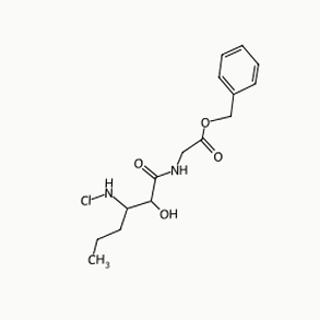 CCCC(NCl)C(O)C(=O)NCC(=O)OCc1ccccc1